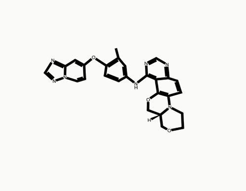 Cc1cc(Nc2ncnc3ccc4c(c23)OC[C@H]2COCCN42)ccc1Oc1ccn2ncnc2c1